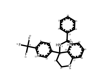 O=C(NC1(c2ccc(C(F)(F)F)nc2)CCOc2cccnc21)c1ccccc1